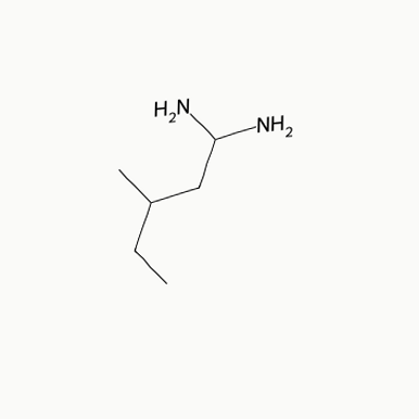 CCC(C)CC(N)N